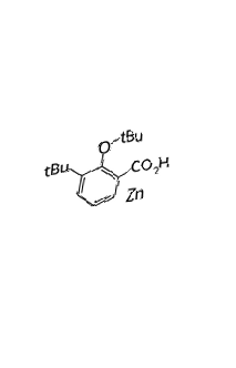 CC(C)(C)Oc1c(C(=O)O)cccc1C(C)(C)C.[Zn]